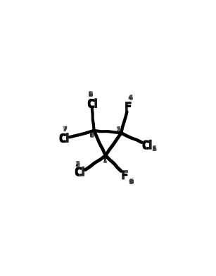 FC1(Cl)C(F)(Cl)C1(Cl)Cl